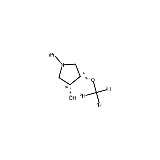 [2H]C([2H])([2H])O[C@H]1CN(C(C)C)C[C@H]1O